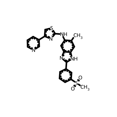 Cc1cc2[nH]c(-c3cccc(S(C)(=O)=O)c3)nc2cc1Nc1nc(-c2cccnc2)cs1